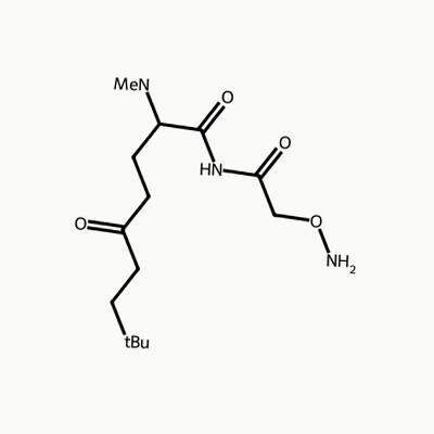 CNC(CCC(=O)CCC(C)(C)C)C(=O)NC(=O)CON